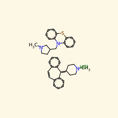 CN1CCC(=C2c3ccccc3C=Cc3ccccc32)CC1.CN1CCC(CN2c3ccccc3Sc3ccccc32)C1.Cl